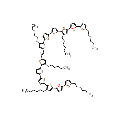 CCCCCCc1ccc(-c2ccc(-c3cc(CCCCCC)c(-c4ccc(-c5ccc(-c6sc(/C=C/c7cc(CCCCCC)c(-c8ccc(-c9ccc(-c%10sc(-c%11ccc(-c%12ccc(CCCCCC)s%12)o%11)cc%10CCCCCC)s9)s8)s7)cc6CCCCCC)s5)s4)s3)o2)s1